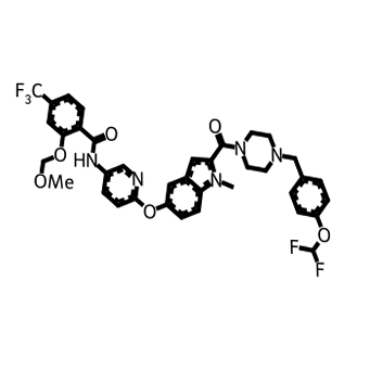 COCOc1cc(C(F)(F)F)ccc1C(=O)Nc1ccc(Oc2ccc3c(c2)cc(C(=O)N2CCN(Cc4ccc(OC(F)F)cc4)CC2)n3C)nc1